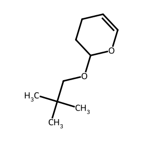 CC(C)(C)COC1CCC=CO1